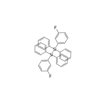 Fc1cccc([Si](c2ccccc2)(c2ccccc2)[Si](c2ccccc2)(c2ccccc2)c2cccc(F)c2)c1